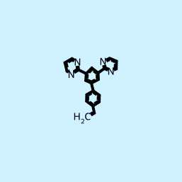 C=Cc1ccc(-c2cc(-c3ncccn3)cc(-c3ncccn3)c2)cc1